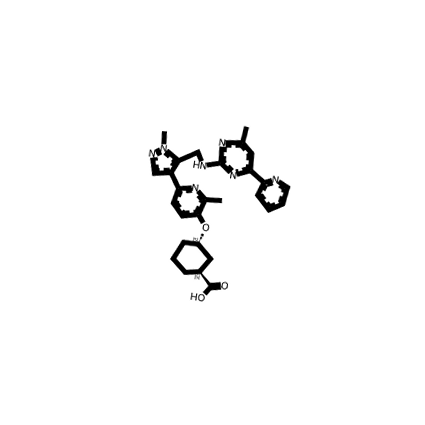 Cc1cc(-c2ccccn2)nc(NCc2c(-c3ccc(O[C@H]4CCC[C@H](C(=O)O)C4)c(C)n3)cnn2C)n1